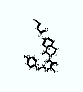 CC=CC(=O)Oc1ccc2c(c1)C(C)N(c1nc(Nc3ccc(F)cc3)nc(C)c1C)CC2